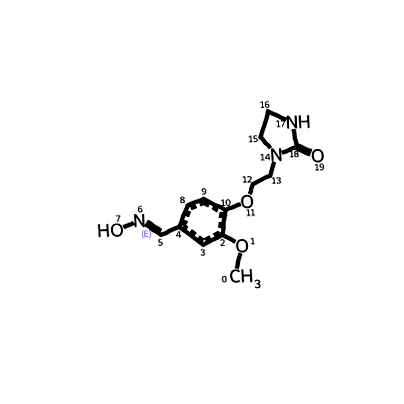 COc1cc(/C=N/O)ccc1OCCN1CCNC1=O